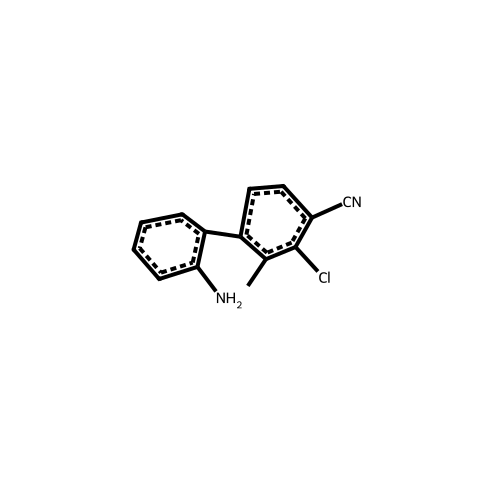 Cc1c(-c2ccccc2N)ccc(C#N)c1Cl